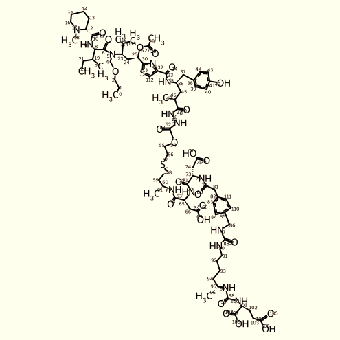 CCCOCN(C(=O)[C@@H](NC(=O)[C@H]1CCCCN1C)C(C)CC)[C@H](C[C@@H](OC(C)=O)c1nc(C(=O)N[C@@H](Cc2ccc(O)cc2)C[C@H](C)C(=O)NNC(=O)OCCSSC[C@@H](C)NC(=O)[C@H](CC(=O)O)NC(=O)[C@H](CC(=O)O)NC(=O)Cc2ccc(CNC(=O)NCCCC[C@@H](C)NC(=O)N[C@@H](CCC(=O)O)C(=O)O)cc2)cs1)C(C)C